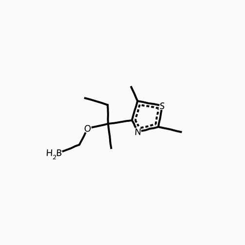 BCOC(C)(CC)c1nc(C)sc1C